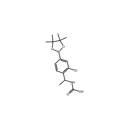 CC(NC(=O)O)c1ccc(B2OC(C)(C)C(C)(C)O2)cc1Cl